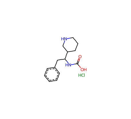 Cl.O=C(O)NC(Cc1ccccc1)C1CCCNC1